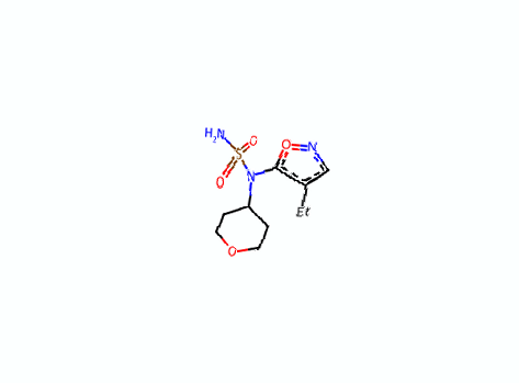 CCc1cnoc1N(C1CCOCC1)S(N)(=O)=O